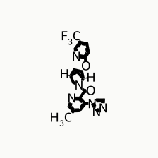 Cc1cnc(C(=O)N2C[C@H]3C[C@@H](Oc4ccc(C(F)(F)F)cn4)[C@@H]2C3)c(-n2ccnn2)c1